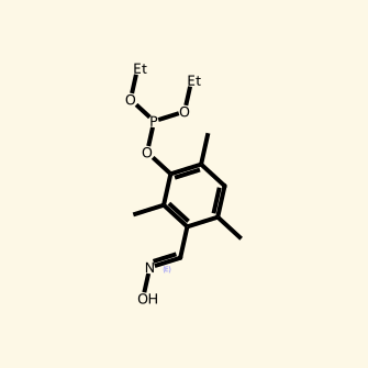 CCOP(OCC)Oc1c(C)cc(C)c(/C=N/O)c1C